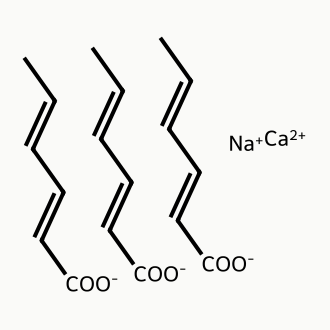 CC=CC=CC(=O)[O-].CC=CC=CC(=O)[O-].CC=CC=CC(=O)[O-].[Ca+2].[Na+]